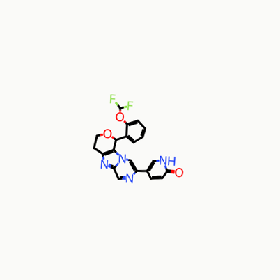 O=c1ccc(-c2cn3c4c(nc3cn2)CCOC4c2ccccc2OC(F)F)c[nH]1